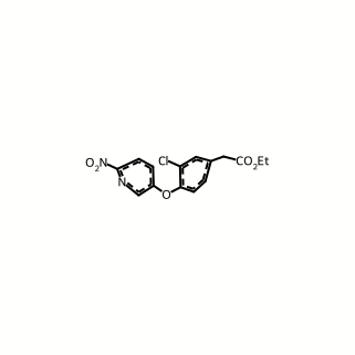 CCOC(=O)Cc1ccc(Oc2ccc([N+](=O)[O-])nc2)c(Cl)c1